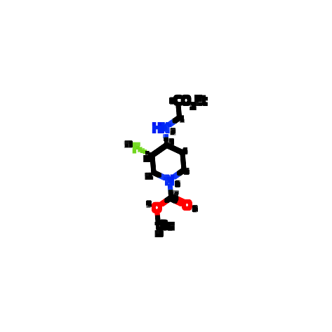 CCOC(=O)CN[C@@H]1CCN(C(=O)OC(C)(C)C)C[C@@H]1F